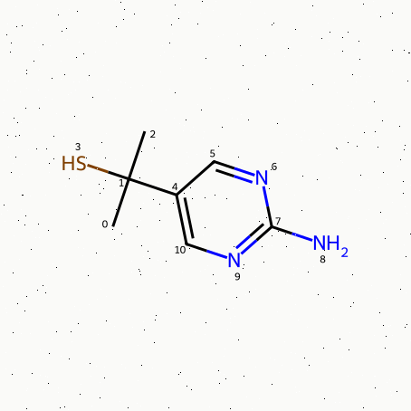 CC(C)(S)c1cnc(N)nc1